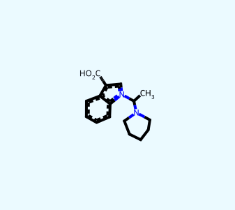 CC(N1CCCCC1)n1cc(C(=O)O)c2ccccc21